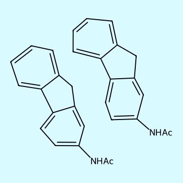 CC(=O)Nc1ccc2c(c1)Cc1ccccc1-2.CC(=O)Nc1ccc2c(c1)Cc1ccccc1-2